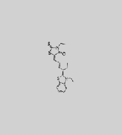 CCC(C=CC=C1SC(=S)N(CC)C1=O)=C1Sc2ccccc2N1CC